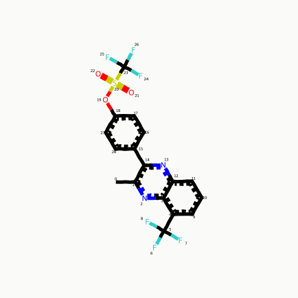 Cc1nc2c(C(F)(F)F)cccc2nc1-c1ccc(OS(=O)(=O)C(F)(F)F)cc1